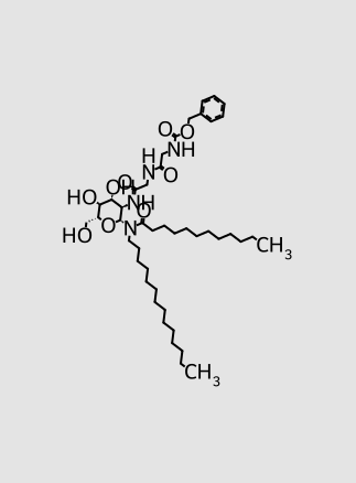 CCCCCCCCCCCCCCN(C(=O)CCCCCCCCCCC)[C@@H]1O[C@H](CO)[C@@H](O)[C@H](O)[C@H]1NC(=O)CNC(=O)CNC(=O)OCc1ccccc1